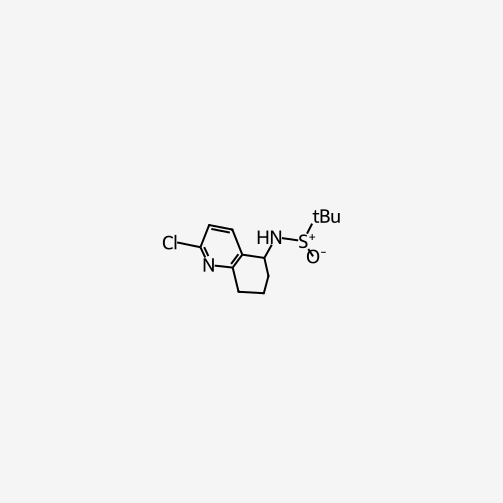 CC(C)(C)[S+]([O-])NC1CCCc2nc(Cl)ccc21